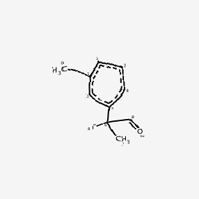 Cc1cccc(C(C)(F)C=O)c1